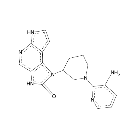 Nc1cccnc1N1CCCC(n2c(=O)[nH]c3cnc4[nH]ccc4c32)C1